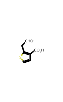 O=[C]Cc1sccc1C(=O)O